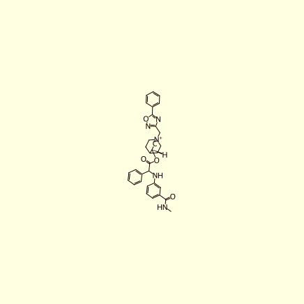 CNC(=O)c1cccc(NC(C(=O)O[C@H]2C[N+]3(Cc4noc(-c5ccccc5)n4)CCC2CC3)c2ccccc2)c1